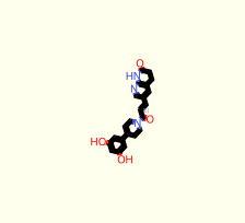 O=C1CCc2cc(/C=C/C(=O)N3CC=C(c4cc(O)cc(O)c4)CC3)cnc2N1